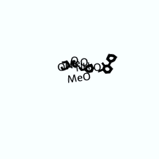 COc1cc(OCc2cccc(-c3ccccc3)c2C)cc(OC)c1CNCC(=O)N1CCOCC1